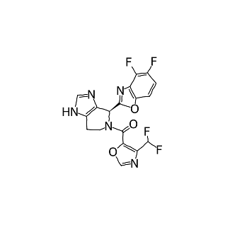 O=C(c1ocnc1C(F)F)N1CCc2[nH]cnc2[C@H]1c1nc2c(F)c(F)ccc2o1